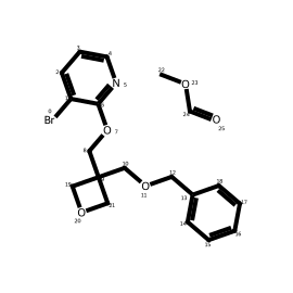 Brc1cccnc1OCC1(COCc2ccccc2)COC1.COC=O